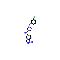 Clc1cccc(CN2CCC(Nc3ccc4[nH]ncc4c3)C2)c1